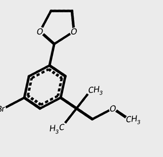 COCC(C)(C)c1cc(Br)cc(C2OCCO2)c1